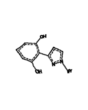 CC(C)n1ccc(-c2c(O)cccc2O)n1